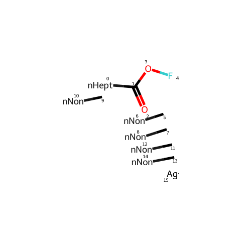 CCCCCCCC(=O)OF.CCCCCCCCCC.CCCCCCCCCC.CCCCCCCCCC.CCCCCCCCCC.CCCCCCCCCC.[Ag]